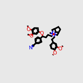 COc1ccc(CCN(C)C2C3CCC2CN(CCCC(Oc2ccc(OC)c(OC)c2)c2ccc(C#N)cc2)C3)cc1OC